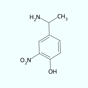 CC(N)c1ccc(O)c([N+](=O)[O-])c1